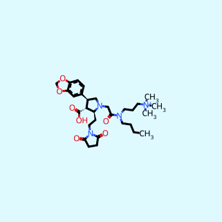 CCCCN(CCC[N+](C)(C)C)C(=O)CN1C[C@H](c2ccc3c(c2)OCO3)[C@@H](C(=O)O)[C@@H]1CCN1C(=O)CCC1=O